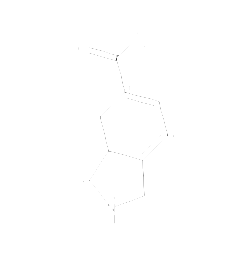 O=C(O)C1=CC=C2CNCC2C1